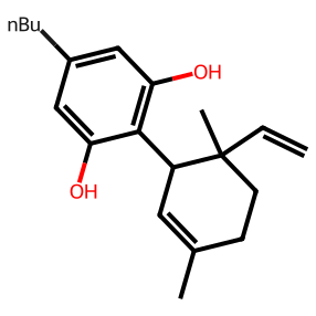 C=CC1(C)CCC(C)=CC1c1c(O)cc(CCCC)cc1O